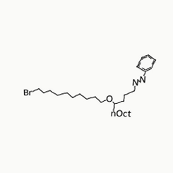 CCCCCCCCC(CCC/N=N/c1ccccc1)OCCCCCCCCCCBr